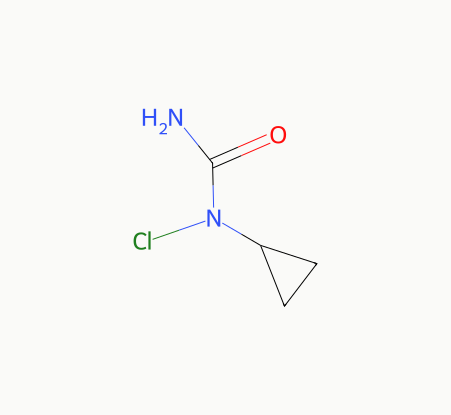 NC(=O)N(Cl)C1CC1